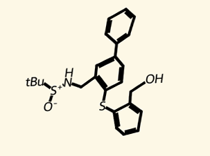 CC(C)(C)[S+]([O-])NCc1cc(-c2ccccc2)ccc1Sc1ccccc1CO